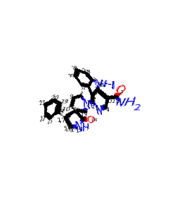 NC(=O)c1cnc(N2CCC[C@]3(C2)C(=O)NC[C@@H]3c2ccccc2)c2c1[nH]c1ccccc12